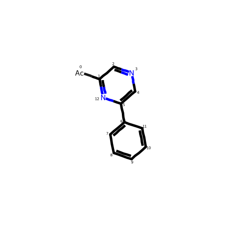 CC(=O)c1cncc(-c2ccccc2)n1